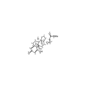 CNC(=O)C(=O)[C@H]1CC[C@H]2[C@@H]3CCC4=CC(=O)C=C(O)[C@]4(C)[C@H]3CC[C@]12C